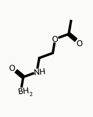 BC(=O)NCCOC(C)=O